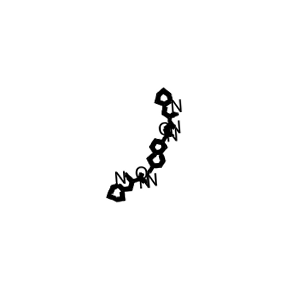 c1ccc2ncc(-c3nnc(-c4ccc5cc(-c6nnc(-c7cnc8ccccc8c7)o6)ccc5c4)o3)cc2c1